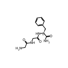 NCC(=O)NCC(=O)N[C@@H](Cc1ccccc1)C(N)=O